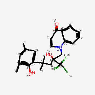 Cc1cc(C)c(O)c(C(C)(C)CC(O)(Cn2ccc(=O)c3ccccc32)C(F)(F)F)c1